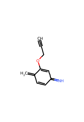 C#CCOC1=CC(=N)C=CC1=C